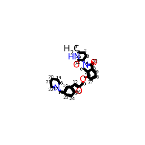 C=C1CCC(N2Cc3c(OCc4cc5cc(CN6CCCCC6)ccc5o4)cccc3C2=O)C(=O)N1